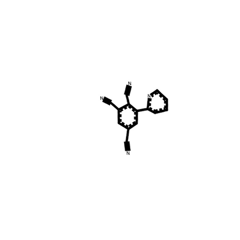 N#Cc1cc(C#N)c(C#N)c(-c2ccccn2)c1